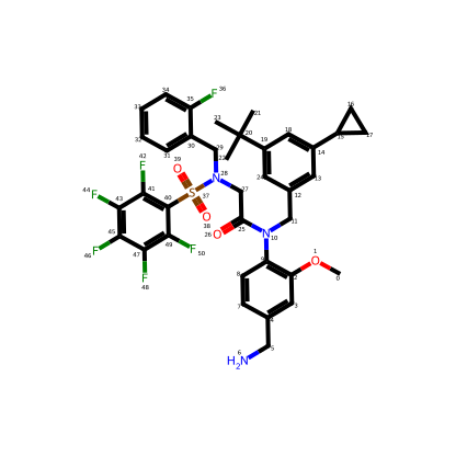 COc1cc(CN)ccc1N(Cc1cc(C2CC2)cc(C(C)(C)C)c1)C(=O)CN(Cc1ccccc1F)S(=O)(=O)c1c(F)c(F)c(F)c(F)c1F